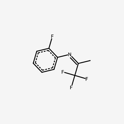 CC(=Nc1ccccc1F)C(F)(F)F